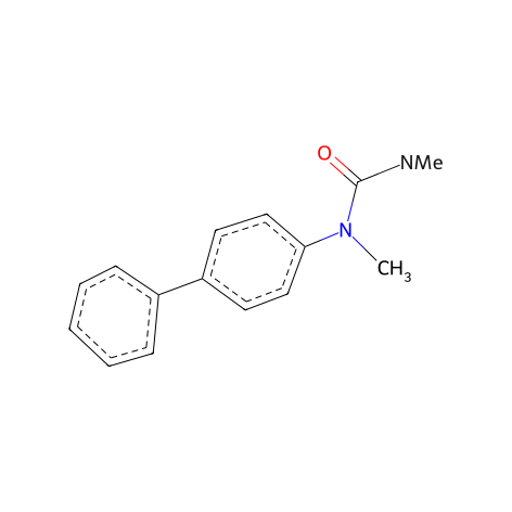 CNC(=O)N(C)c1ccc(-c2ccccc2)cc1